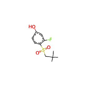 CC(C)(C)CS(=O)(=O)c1ccc(O)cc1F